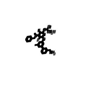 CCC(Oc1nc(Oc2cc(C)cc(-c3cccc(CN)c3)c2)c(F)c(N(C)Cc2ccccc2)c1F)C(=O)O